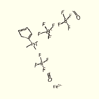 C[PH](C)(C)C1=CC=CC1.F[B-](F)(F)F.F[B-](F)(F)F.F[B-](F)(F)F.[C]=O.[C]=O.[Fe+3]